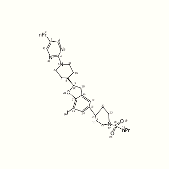 CCCc1cnc(N2CCC([C@H]3Cc4cc(C5=CCN(S(=O)(=O)CCC)CC5)cc(I)c4O3)CC2)nc1